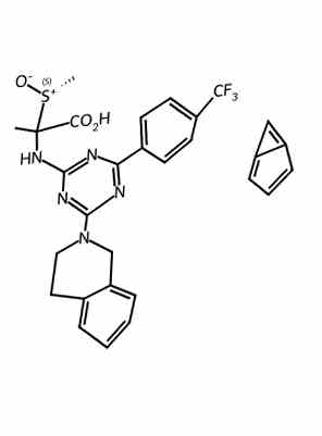 C[S@@+]([O-])C(C)(Nc1nc(-c2ccc(C(F)(F)F)cc2)nc(N2CCc3ccccc3C2)n1)C(=O)O.c1cc2cc-2c1